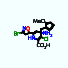 COc1ccccc1CC1(N)C=C(C2CC(Br)=NO2)NC(C(=O)O)=C1Cl